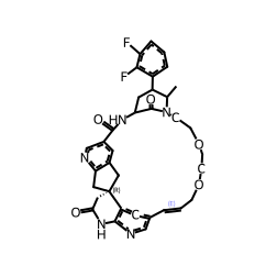 CC1C(c2cccc(F)c2F)CC2NC(=O)c3cnc4c(c3)C[C@]3(CC(=O)Nc5ncc(cc53)/C=C/COCCOCCN1C2=O)C4